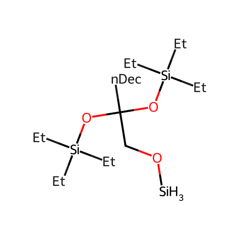 CCCCCCCCCCC(CO[SiH3])(O[Si](CC)(CC)CC)O[Si](CC)(CC)CC